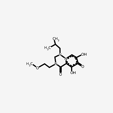 COCCN1CN(CC(C)C)n2cc(O)c(=O)c(O)c2C1=O